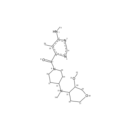 CNc1ncnc(C(=O)N2CCC(N(C)C3CCOCC3OC)CC2)c1C